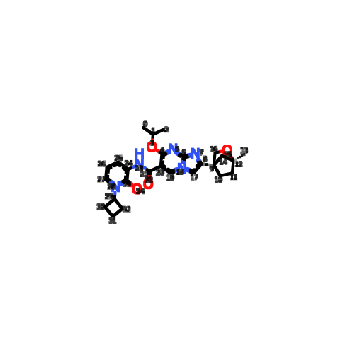 CC(C)Oc1nc2nc([C@@]34CC[C@@](C)(C3)OC4)cn2cc1C(=O)Nc1cccn(C2CCC2)c1=O